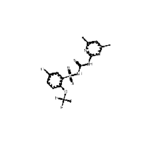 Cc1cc(C)nc(NC(=S)NS(=O)(=O)c2cc(Cl)ccc2OC(F)(F)F)n1